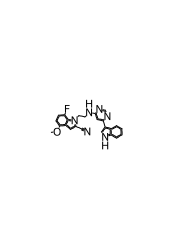 COc1ccc(F)c2c1cc(C#N)n2CCNc1cc(-c2c[nH]c3ccccc23)ncn1